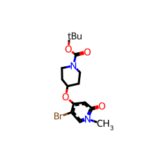 Cn1cc(Br)c(OC2CCN(C(=O)OC(C)(C)C)CC2)cc1=O